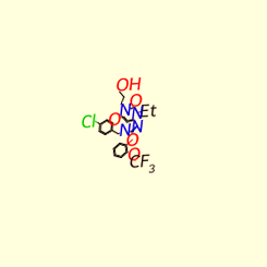 CCn1c(=O)n(CCCO)c(=O)c2c1nc(Oc1ccccc1OC(F)(F)F)n2Cc1ccc(Cl)cc1